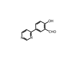 O=Cc1cc(-c2ccncn2)ccc1O